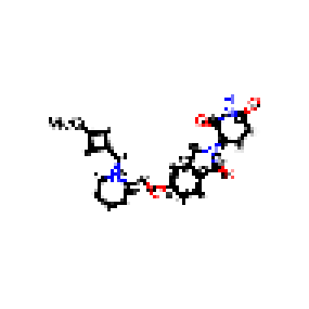 COC1CC(CN2CCCC[C@@H]2COc2ccc3c(c2)CN([C@@H]2CCC(=O)NC2=O)C3=O)C1